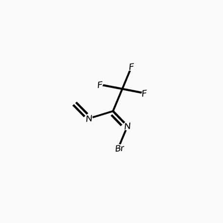 C=N/C(=N\Br)C(F)(F)F